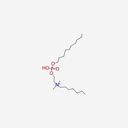 CCCCCCCCCCOP(=O)(O)OCC[N+](C)(C)CCCCCCC